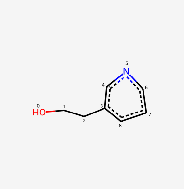 OCCc1[c]nccc1